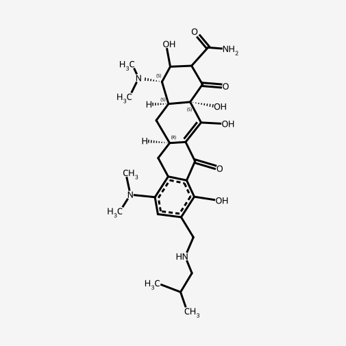 CC(C)CNCc1cc(N(C)C)c2c(c1O)C(=O)C1=C(O)[C@]3(O)C(=O)C(C(N)=O)C(O)[C@@H](N(C)C)[C@@H]3C[C@@H]1C2